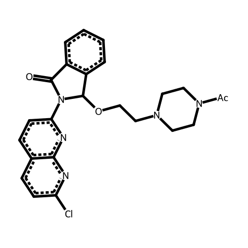 CC(=O)N1CCN(CCOC2c3ccccc3C(=O)N2c2ccc3ccc(Cl)nc3n2)CC1